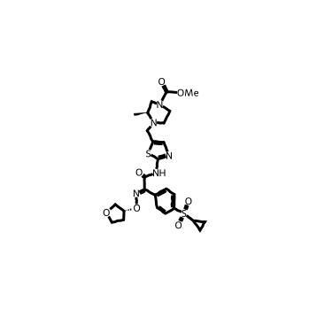 COC(=O)N1CCN(Cc2cnc(NC(=O)/C(=N/O[C@@H]3CCOC3)c3ccc(S(=O)(=O)C4CC4)cc3)s2)[C@@H](C)C1